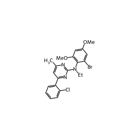 CCN(c1nc(C)cc(-c2ccccc2Cl)n1)c1c(Br)cc(OC)cc1OC